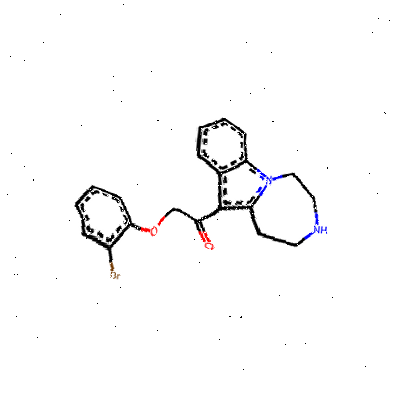 O=C(COc1ccccc1Br)c1c2n(c3ccccc13)CCNCC2